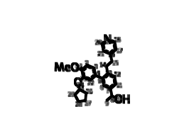 COc1ccc(-c2cc(C(C)O)ccc2CCc2ccncc2)cc1OC1CCCC1